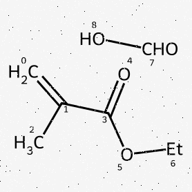 C=C(C)C(=O)OCC.O=CO